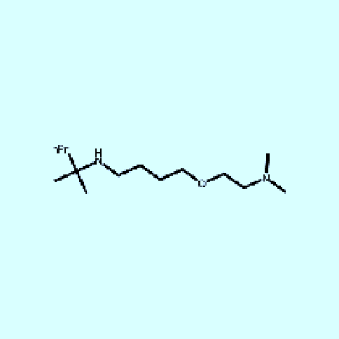 CCCC(C)(C)NCCCCOCCN(C)C